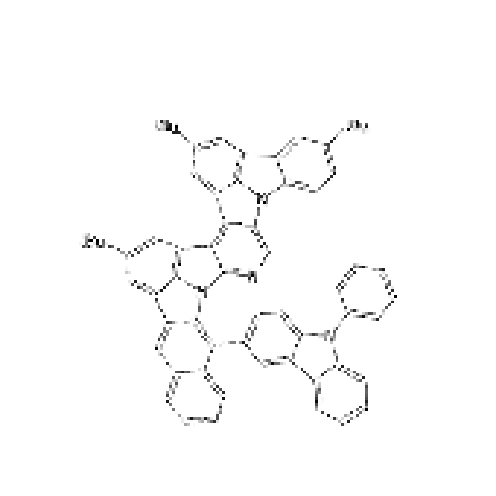 CC(C)(C)c1ccc2c(c1)c1cc(C(C)(C)C)cc3c4c5c6cc(C(C)(C)C)cc7c8cc9ccccc9c(-c9ccc%10c(c9)c9ccccc9n%10-c9ccccc9)c8n(c5ncc4n2c13)c76